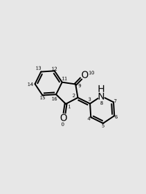 O=C1C(=C2C=CC=CN2)C(=O)c2ccccc21